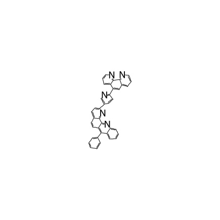 c1ccc(-c2c3ccccc3nc3c2ccc2ccc(-c4ccc(-c5cc6cccnc6c6ncccc56)nc4)nc23)cc1